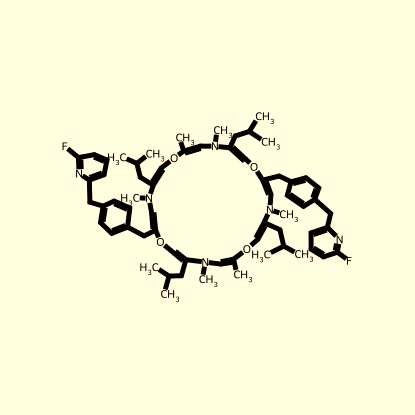 CC1=CN(C)C(CC(C)C)=COC(Cc2ccc(Cc3cccc(F)n3)cc2)=CN(C)C(CC(C)C)=COC(C)=CN(C)C(CC(C)C)=COC(Cc2ccc(Cc3cccc(F)n3)cc2)=CN(C)C(CC(C)C)=CO1